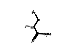 CNC(=O)[C@H](C)CC(C)C